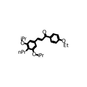 CCCc1c(OC(C)C)cc(C=CC(=O)c2ccc(OCC)cc2)cc1OC(C)C